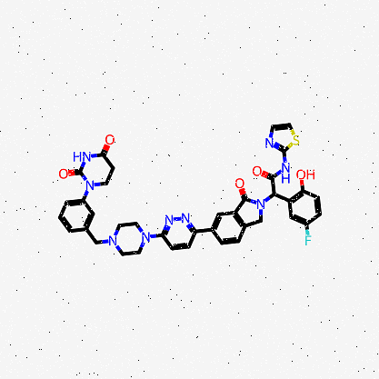 O=C1CCN(c2cccc(CN3CCN(c4ccc(-c5ccc6c(c5)C(=O)N(C(C(=O)Nc5nccs5)c5cc(F)ccc5O)C6)nn4)CC3)c2)C(=O)N1